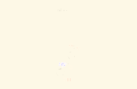 CCCCCCCCCCCCCCCCCCCS(=O)(=O)c1ccc(C(=O)Nc2cccc(O)c2)cc1